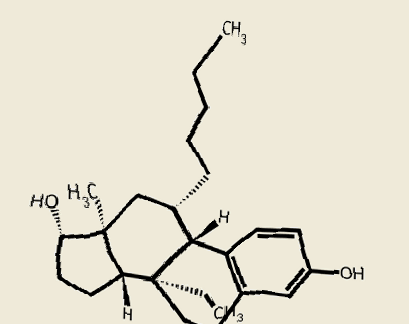 CCCCC[C@H]1C[C@@]2(C)[C@@H](CC[C@@H]2O)[C@]2(CC)CCc3cc(O)ccc3[C@@H]12